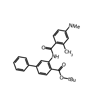 CNc1ccc(C(=O)Nc2cc(-c3ccccc3)ccc2C(=O)OC(C)(C)C)c(C)c1